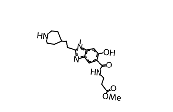 COC(=O)CCNC(=O)c1cc2nc(CCC3CCNCC3)n(C)c2cc1O